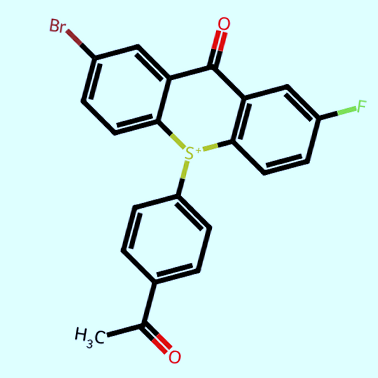 CC(=O)c1ccc(-[s+]2c3ccc(F)cc3c(=O)c3cc(Br)ccc32)cc1